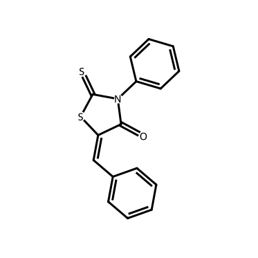 O=C1/C(=C\c2ccccc2)SC(=S)N1c1ccccc1